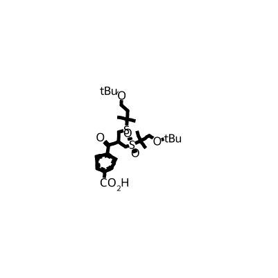 CC(C)(C)OCCC(C)(C)SCC(CS(=O)(=O)C(C)(C)COC(C)(C)C)C(=O)c1ccc(C(=O)O)cc1